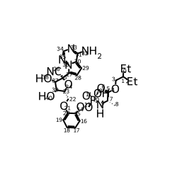 CCC(CC)COC(=O)[C@H](C)N[P@](=O)(O)OOc1ccccc1OC[C@H]1O[C@@](C#N)(c2ccc3c(N)ncnn23)[C@H](O)[C@@H]1O